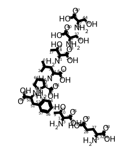 CC(C)CC(N)C(=O)O.CC(O)C(N)C(=O)O.CC(O)C(N)C(=O)O.NC(CCC(=O)O)C(=O)O.NC(CO)C(=O)O.NC(CO)C(=O)O.NC(Cc1ccccc1)C(=O)O.O=C(O)[C@@H]1CCCN1